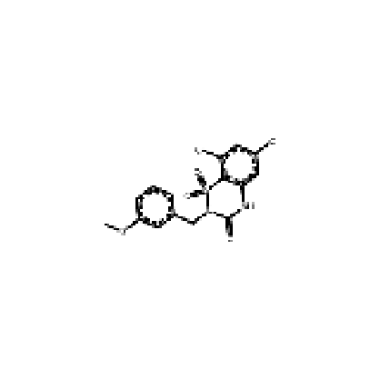 COc1cccc(CN2C(=O)Nc3cc(Cl)cc(Cl)c3S2(=O)=O)c1